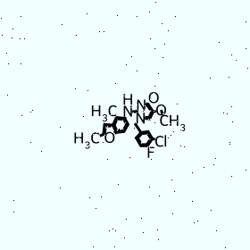 COc1cn(Cc2ccc(F)c(Cl)c2)c(Nc2ccc3oc(C)cc3c2C)nc1=O